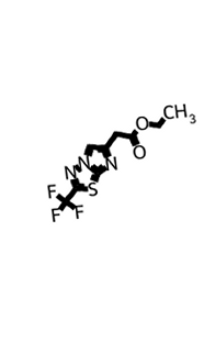 CCOC(=O)Cc1cn2nc(C(F)(F)F)sc2n1